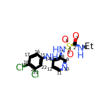 CCNC(=O)S(=O)(=O)Nc1cnccc1Nc1ccc(Cl)c(Cl)c1